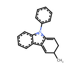 CC1C=c2c(n(-c3ccccc3)c3ccccc23)=CC1